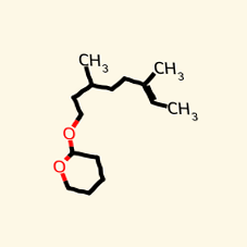 CC=C(C)CCC(C)CCOC1CCCCO1